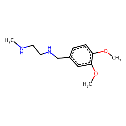 CNCCNCc1ccc(OC)c(OC)c1